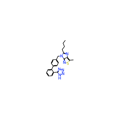 CCCCc1nc2c(C)snc2n1Cc1ccc(-c2ccccc2-c2nnn[nH]2)cc1